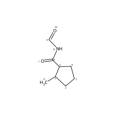 CC1CCCC1C(=O)NC=O